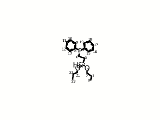 CCCO[SiH](CCP(c1ccccc1)c1ccccc1)OCCC